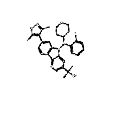 Cc1noc(C)c1-c1ccc2c3ncc(C(C)(C)O)cc3n([C@H](c3ccccc3F)C3CCOCC3)c2c1